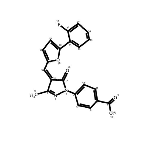 CC1=NN(c2ccc(C(=O)O)cc2)C(=O)/C1=C\c1ccc(-c2ccccc2F)o1